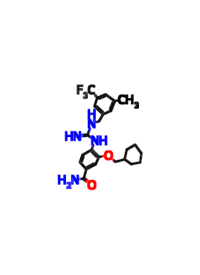 Cc1cc(CNC(=N)Nc2ccc(C(N)=O)cc2OCC2CCCCC2)cc(C(F)(F)F)c1